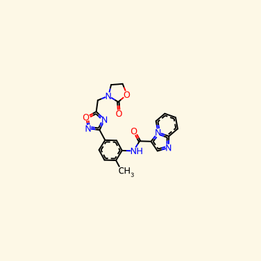 Cc1ccc(-c2noc(CN3CCOC3=O)n2)cc1NC(=O)c1cnc2ccccn12